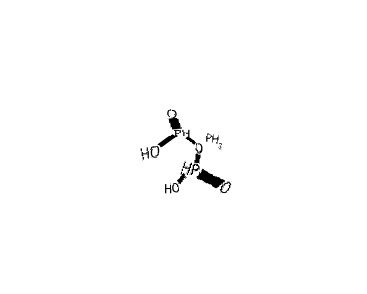 O=[PH](O)O[PH](=O)O.P